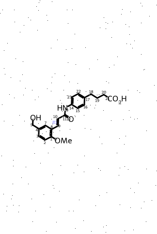 COc1ccc(CO)cc1/C=C/C(=O)Nc1ccc(CCCC(=O)O)cc1